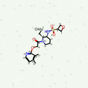 COC[C@H]1[C@@H](NS(=O)(=O)C2COC2)CCCN1C(=O)COc1nccc(C)c1C